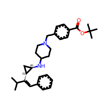 CC(C)C(=Cc1ccccc1)[C@@H]1C[C@H]1NC1CCN(Cc2ccc(C(=O)OC(C)(C)C)cc2)CC1